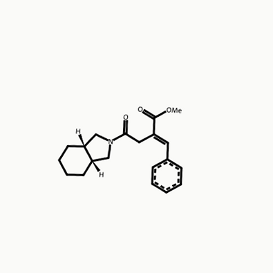 COC(=O)/C(=C/c1ccccc1)CC(=O)N1C[C@H]2CCCC[C@H]2C1